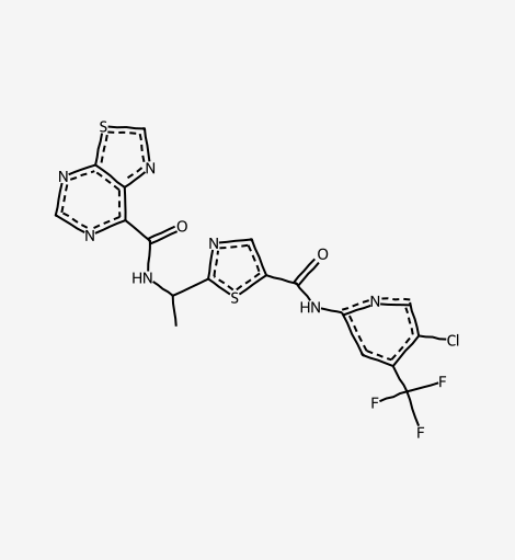 CC(NC(=O)c1ncnc2scnc12)c1ncc(C(=O)Nc2cc(C(F)(F)F)c(Cl)cn2)s1